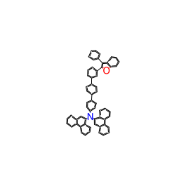 c1ccc(-c2c(-c3cccc(-c4ccc(-c5ccc(N(c6cc7ccccc7c7ccccc67)c6cc7ccccc7c7ccccc67)cc5)cc4)c3)oc3ccccc23)cc1